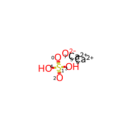 O=S(=O)(O)O.[Ca+2].[Ca+2].[O-2]